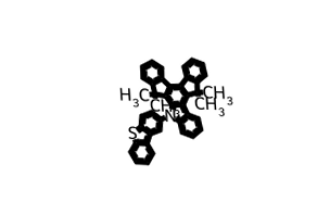 CC1(C)c2ccccc2-c2c3c(c4c(c21)c1ccccc1n4-c1ccc2sc4ccccc4c2c1)C(C)(C)c1ccccc1-3